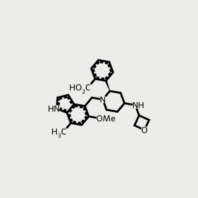 COc1cc(C)c2[nH]ccc2c1CN1CCC(NC2COC2)C[C@@H]1c1ccccc1C(=O)O